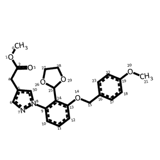 COC(=O)Cc1cnn(-c2cccc(OCc3ccc(OC)cc3)c2C2OCCO2)c1